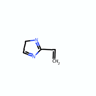 C=CC1=NCC=N1